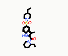 CCC1CCN(S(=O)(=O)c2ccc3[nH]c(C(=O)N4CCCCC4CC)c(C)c3c2)CC1